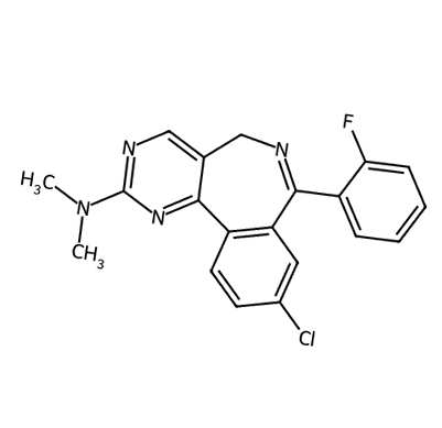 CN(C)c1ncc2c(n1)-c1ccc(Cl)cc1C(c1ccccc1F)=NC2